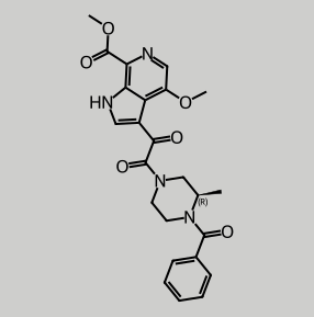 COC(=O)c1ncc(OC)c2c(C(=O)C(=O)N3CCN(C(=O)c4ccccc4)[C@H](C)C3)c[nH]c12